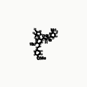 COc1ccc(/C=C/c2cc(C(=O)NS(=O)(=O)c3cccc(N)n3)c(N3CCC(C)C3(C)C)nc2C(C)(C)C)cc1